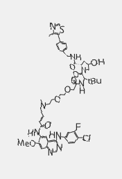 COc1cc2ncnc(Nc3ccc(Cl)c(F)c3)c2cc1NC(=O)/C=C/CN(C)CCOCCOCC(=O)NC(C(=O)N1C[C@H](O)C[C@H]1C(=O)NCc1ccc(-c2scnc2C)cc1)C(C)(C)C